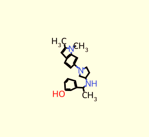 Cc1cc2ccc(N3CCC(NC(C)c4cccc(O)c4)C3)cc2n1C